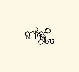 O=C(NCc1cccnc1)C(CCc1ccccc1)OC(=O)C1CCCCN1S(=O)(=O)Cc1ccccc1